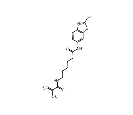 C=C(C)C(=O)NCCCCCC(=O)Nc1ccc2nc(S)sc2c1